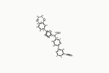 N#Cc1cccc(-c2ccc(C(S)c3nnc(-c4ccc5c(c4)OCCO5)o3)cc2)c1